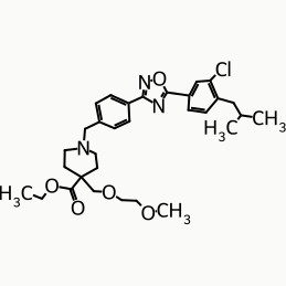 CCOC(=O)C1(COCCOC)CCN(Cc2ccc(-c3noc(-c4ccc(CC(C)C)c(Cl)c4)n3)cc2)CC1